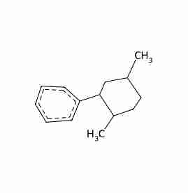 CC1CCC(C)C(c2ccccc2)C1